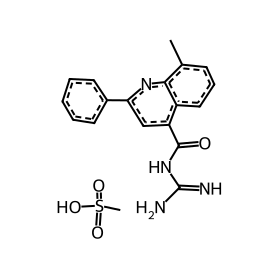 CS(=O)(=O)O.Cc1cccc2c(C(=O)NC(=N)N)cc(-c3ccccc3)nc12